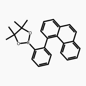 CC1(C)OB(c2ccccc2-c2cccc3ccc4ccccc4c23)OC1(C)C